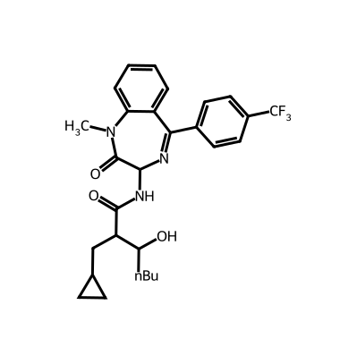 CCCCC(O)C(CC1CC1)C(=O)NC1N=C(c2ccc(C(F)(F)F)cc2)c2ccccc2N(C)C1=O